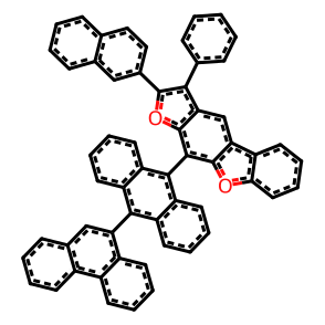 c1ccc(-c2c(-c3ccc4ccccc4c3)oc3c(-c4c5ccccc5c(-c5cc6ccccc6c6ccccc56)c5ccccc45)c4oc5ccccc5c4cc23)cc1